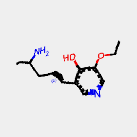 CCOc1cncc(/C=C/CC(C)N)c1O